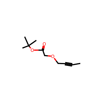 CC#CCOCC(=O)OC(C)(C)C